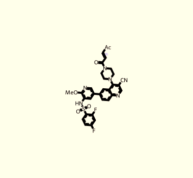 COc1ncc(-c2ccc3ncc(C#N)c(N4CCN(C(=O)/C=C/C(C)=O)CC4)c3c2)cc1NS(=O)(=O)c1ccc(F)cc1F